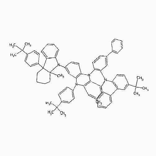 Cc1cc2c3c(c1)N(c1ccc(C(C)(C)C)cc1-c1ccccc1)c1cc(-c4ccccc4)ccc1B3c1ccc(N3c4ccccc4C4(c5ccc(C(C)(C)C)cc5)CCCCC34C)cc1N2c1ccc(C(C)(C)C)cc1